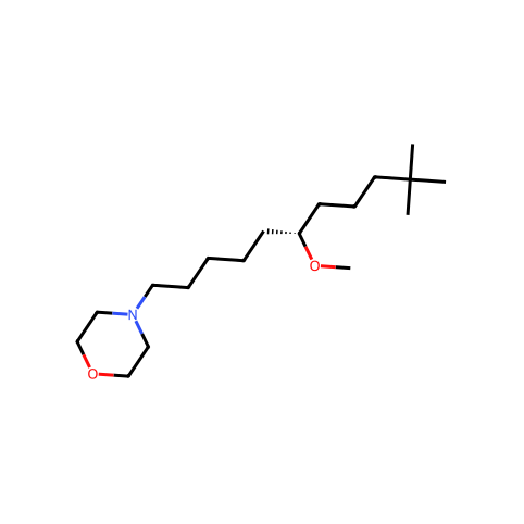 CO[C@H](CCCCCN1CCOCC1)CCCC(C)(C)C